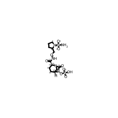 NS(=O)(=O)N1CCCC1CONC(=O)[C@@H]1CC[C@@H]2CN1C(=O)N2OS(=O)(=O)O